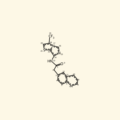 O=C(Cc1ccc2ncccc2c1)Nc1ncn2c(C(F)(F)F)csc12